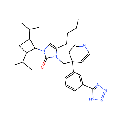 CCCCc1cn(C2C(C(C)C)CC2C(C)C)c(=O)n1CC1(c2cccc(-c3nnn[nH]3)c2)C=CN=CC1